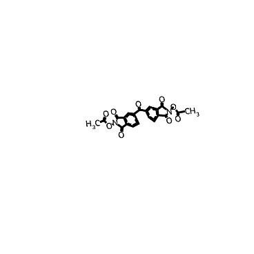 CC(=O)ON1C(=O)c2ccc(C(=O)c3ccc4c(c3)C(=O)N(OC(C)=O)C4=O)cc2C1=O